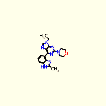 CCn1cnc2c(-c3cccc4[nH]c(C)nc34)nc(N3CCOCC3)nc21